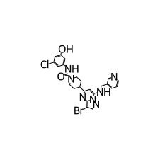 O=C(Nc1cc(O)cc(Cl)c1)N1CCC(c2cc(NCc3cccnc3)n3ncc(Br)c3n2)CC1